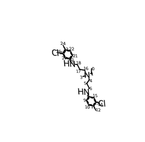 CC[N+](C)(CCCNc1ccc(C)c(Cl)c1)CCCNc1ccc(C)c(Cl)c1